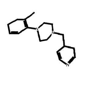 CC1=C(N2CCN(CC3C=CN=CC3)CC2)C=CCC1